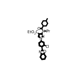 CCOC(=O)c1cn(-c2ccc(-c3nc4ccccc4o3)c(Cl)c2)nc1N(C(=O)C1CCC(C)CC1)C(C)C